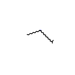 CCCCCCCC/C=C\CCCCCCCCC[C](C)C